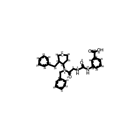 O=C(NCC(=O)N(Cc1ccccc1)C1CCCCC1Cc1ccccc1)Nc1cccc(C(=O)O)c1